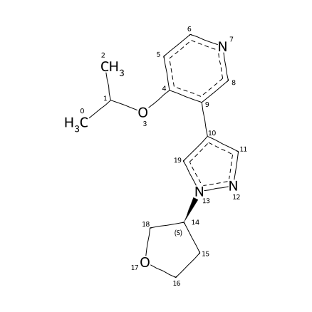 CC(C)Oc1ccncc1-c1cnn([C@H]2CCOC2)c1